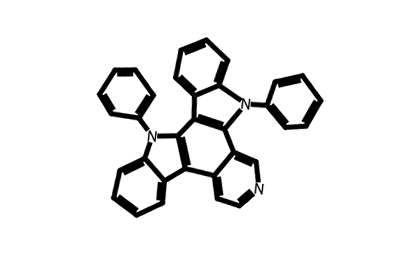 c1ccc(-n2c3ccccc3c3c2c2cnccc2c2c4ccccc4n(-c4ccccc4)c23)cc1